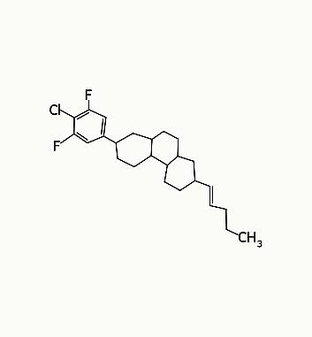 CCC/C=C/C1CCC2C(CCC3CC(c4cc(F)c(Cl)c(F)c4)CCC32)C1